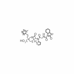 Cn1nnnc1SCC1(C(=O)O)CS[C@@H]2C(N(C(=O)CNC(=O)n3c(=O)n(C)c4ccccc43)c3cccs3)C(=O)N2C1